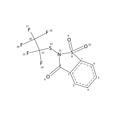 O=C1c2ccccc2S(=O)(=O)N1SC(F)(F)C(F)(F)F